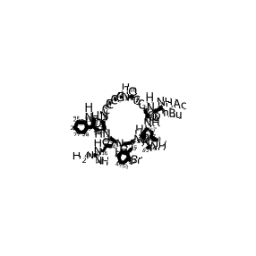 CCCC[C@H](NC(C)=O)C(=O)N[C@H]1CCC(=O)NCCCCNC(=O)[C@H](Cc2c[nH]c3ccccc23)NC(=O)[C@H](CCCNC(=N)N)NC(=O)[C@@H](Cc2ccccc2Br)NC(=O)[C@H](Cc2c[nH]cn2)NC1=O